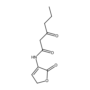 CCCC(=O)CC(=O)NC1=CCOC1=O